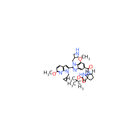 COc1ccc2cc(-c3nc4cc(C(=O)N5C[C@H]6CC[C@@H]5[C@@H]6NC(=O)OC(C)(C)C)cc(OC)c4n3CC3CNC3)n(CC3CC3)c2n1